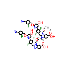 COCCn1c(Cc2cc(F)c(-c3cc(O)cc(OCc4ccc(C#N)cc4F)n3)cc2F)nc2ccc(C(=O)O)cc21.COCCn1c(Cc2cc(F)c(-c3cc(O)cc(OCc4ccc(C#N)cc4F)n3)cc2F)nc2ccc(C(=O)O)cc21